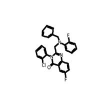 O=c1c2cc(F)ccc2nc(CN(Cc2ccccc2)c2ccccc2F)n1-c1ccccc1Cl